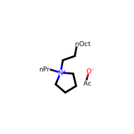 CC(=O)[O-].CCCCCCCCCC[N+]1(CCC)CCCC1